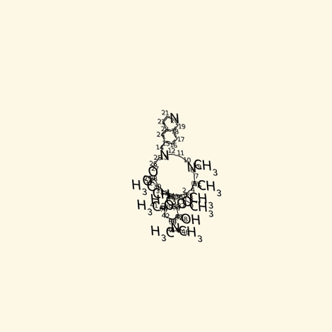 CO[C@]1(C)C[C@@H](C)CN(C)CCCN(Cc2ccc3cnccc3c2)CCOC(=O)C(C)(C)C[C@H](C)[C@H]1O[C@@H]1O[C@H](C)C[C@H](N(C)C)[C@H]1O